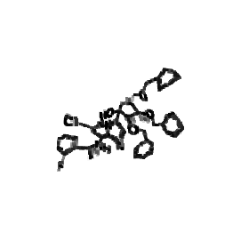 C[C@H](Nc1cc(Cl)nn2c(C3(O)C[C@H](COCc4ccccc4)[C@@H](OCc4ccccc4)[C@H]3OCc3ccccc3)cnc12)c1ccccc1F